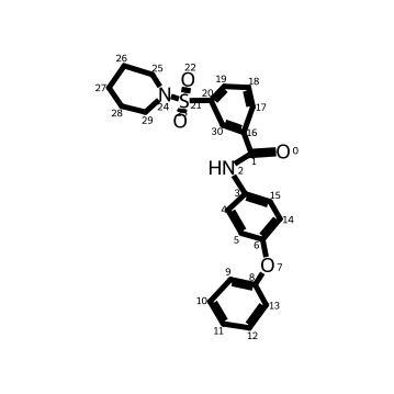 O=C(Nc1ccc(Oc2ccccc2)cc1)c1cccc(S(=O)(=O)N2CCCCC2)c1